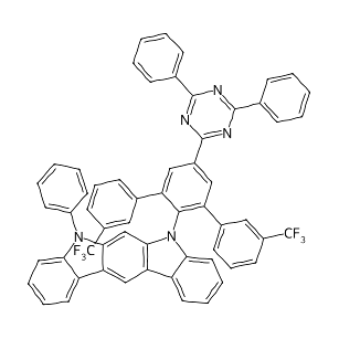 FC(F)(F)c1cccc(-c2cc(-c3nc(-c4ccccc4)nc(-c4ccccc4)n3)cc(-c3cccc(C(F)(F)F)c3)c2-n2c3ccccc3c3cc4c5ccccc5n(-c5ccccc5)c4cc32)c1